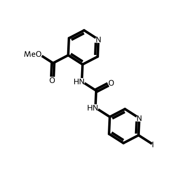 COC(=O)c1ccncc1NC(=O)Nc1ccc(I)nc1